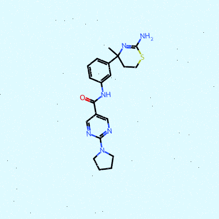 CC1(c2cccc(NC(=O)c3cnc(N4CCCC4)nc3)c2)CCSC(N)=N1